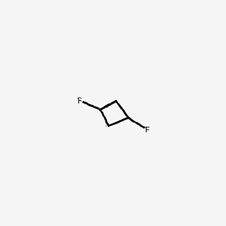 FC1[CH]C(F)C1